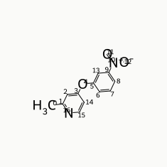 Cc1cc(Oc2cccc([N+](=O)[O-])c2)ccn1